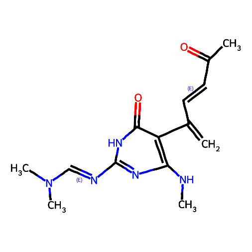 C=C(/C=C/C(C)=O)c1c(NC)nc(/N=C/N(C)C)[nH]c1=O